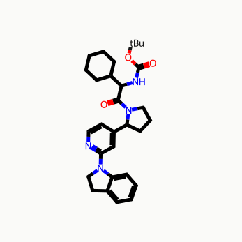 CC(C)(C)OC(=O)NC(C(=O)N1CCCC1c1ccnc(N2CCc3ccccc32)c1)C1CCCCC1